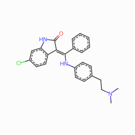 CN(C)CCc1ccc(NC(=C2C(=O)Nc3cc(Cl)ccc32)c2ccccc2)cc1